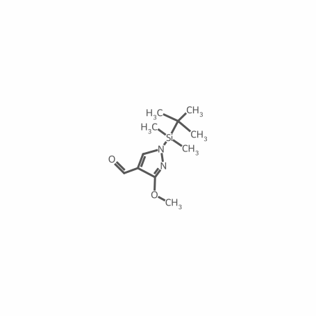 COc1nn([Si](C)(C)C(C)(C)C)cc1C=O